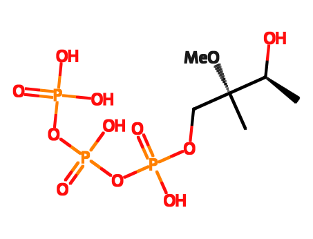 CO[C@](C)(COP(=O)(O)OP(=O)(O)OP(=O)(O)O)[C@H](C)O